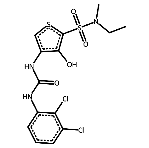 CCN(C)S(=O)(=O)c1scc(NC(=O)Nc2cccc(Cl)c2Cl)c1O